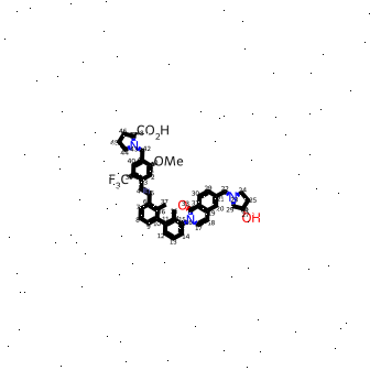 COc1cc(/C=C/c2cccc(-c3cccc(-n4ccc5cc(CN6CC[C@H](O)C6)ccc5c4=O)c3C)c2C)c(C(F)(F)F)cc1CN1CCC[C@H]1C(=O)O